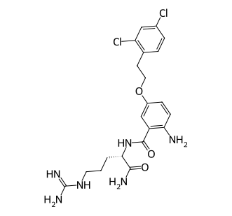 N=C(N)NCCC[C@H](NC(=O)c1cc(OCCc2ccc(Cl)cc2Cl)ccc1N)C(N)=O